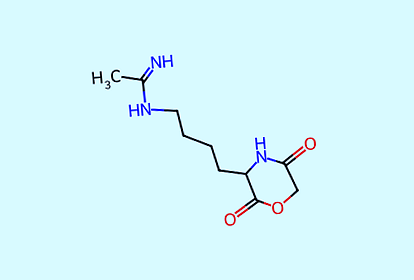 CC(=N)NCCCCC1NC(=O)COC1=O